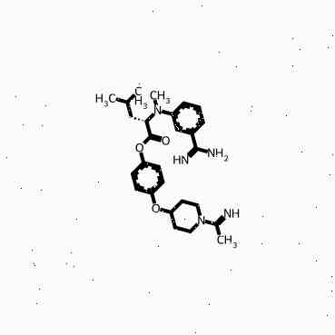 CC(=N)N1CCC(Oc2ccc(OC(=O)[C@H](CC(C)C)N(C)c3cccc(C(=N)N)c3)cc2)CC1